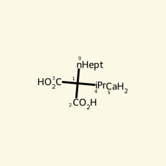 CCCCCCCC(C(=O)O)(C(=O)O)C(C)C.[CaH2]